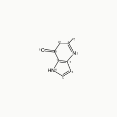 CC1=Nc2cc[nH]c2C(=O)C1